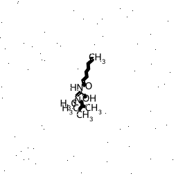 CCCCCCCC(=O)N[C@@H](CO)CN(C)CC(C)C(C)C